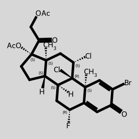 CC(=O)OCC(=O)[C@]1(OC(C)=O)CC[C@H]2[C@@H]3C[C@@H](F)C4=CC(=O)C(Br)=C[C@]4(C)[C@@]3(Cl)[C@@H](Cl)C[C@@]21C